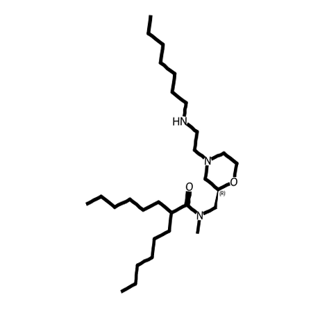 CCCCCCCNCCN1CCO[C@@H](CN(C)C(=O)C(CCCCCC)CCCCCC)C1